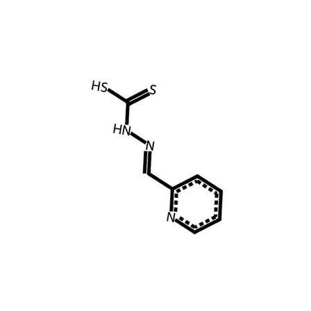 S=C(S)NN=Cc1ccccn1